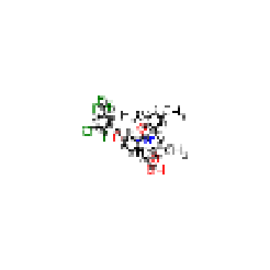 Cc1cc(C)cc(C(CC(C)C)NC(=O)c2cc(OCc3cc(C(F)(F)F)cc(Cl)c3F)ccc2CCC(=O)O)c1